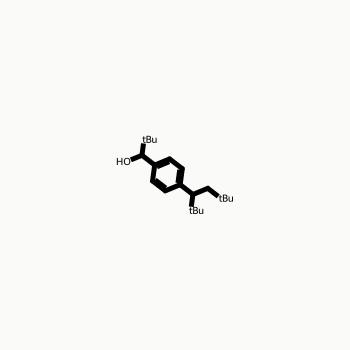 CC(C)(C)CC(c1ccc(C(O)C(C)(C)C)cc1)C(C)(C)C